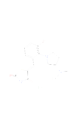 CN(C)[C@H]1CCN(c2c(Br)cccc2/C=C2\SC(=O)NC2=O)C1.Cl